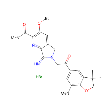 Br.CCOc1cc2c(nc1C(=O)NC)C(=N)N(CC(=O)c1cc(NC)c3c(c1)C(C)(C)CO3)C2